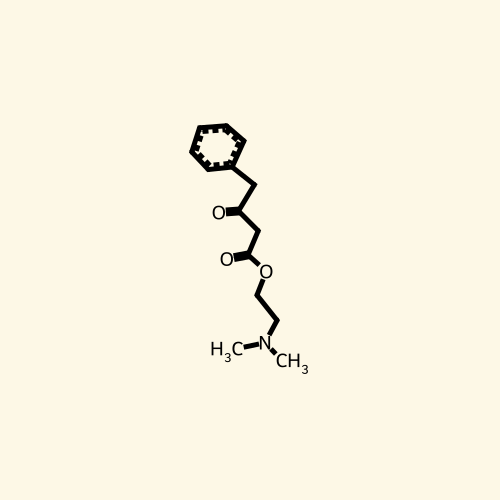 CN(C)CCOC(=O)CC(=O)Cc1ccccc1